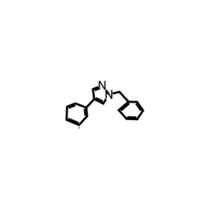 [c]1cccc(-c2cnn(Cc3ccccc3)c2)c1